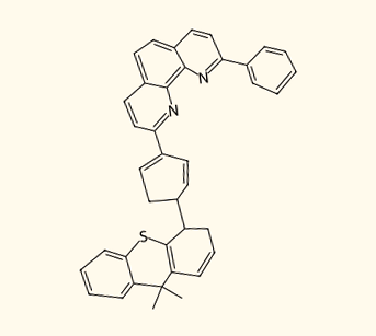 CC1(C)C2=C(Sc3ccccc31)C(C1C=CC(c3ccc4ccc5ccc(-c6ccccc6)nc5c4n3)=CC1)CC=C2